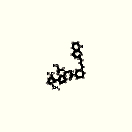 Cc1cnn(C)c1-c1cccc([C@H](CC(=O)O)NC(=O)[C@@H]2CCCN(CCCc3ccc4c(n3)NCCC4)C2)c1